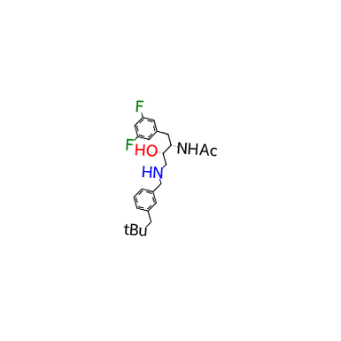 CC(=O)N[C@@H](Cc1cc(F)cc(F)c1)[C@@H](O)CNCc1cccc(CC(C)(C)C)c1